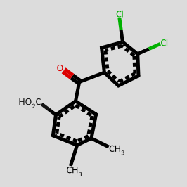 Cc1cc(C(=O)O)c(C(=O)c2ccc(Cl)c(Cl)c2)cc1C